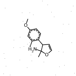 COc1ccc(C2C=COC2(C)N)c(C)c1